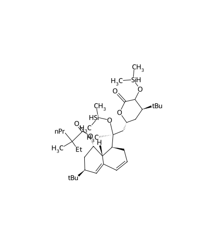 CCCC(C)(CC)C(=O)O[C@H]1C[C@H](C(C)(C)C)C=C2C=CC[C@H]([C@](C)(C[C@H]3C[C@H](C(C)(C)C)C(O[SiH](C)C)C(=O)O3)O[SiH](C)C)[C@H]21